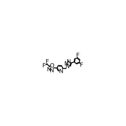 Fc1cc(F)cc(-c2cn(Cc3ccc(-c4nnc(C(F)F)o4)cn3)nn2)c1